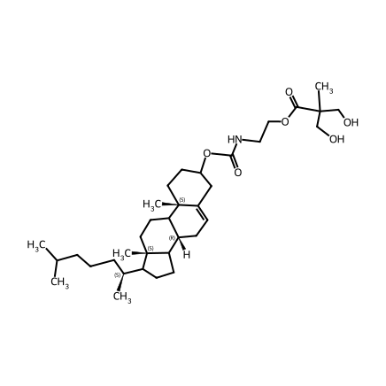 CC(C)CCC[C@H](C)C1CCC2[C@H]3CC=C4CC(OC(=O)NCCOC(=O)C(C)(CO)CO)CC[C@@]4(C)C3CC[C@]21C